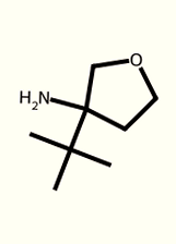 CC(C)(C)C1(N)CCOC1